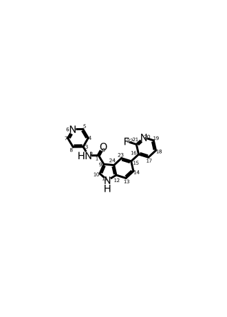 O=C(Nc1ccncc1)c1c[nH]c2ccc(-c3cccnc3F)cc12